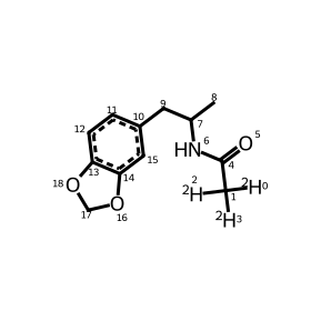 [2H]C([2H])([2H])C(=O)NC(C)Cc1ccc2c(c1)OCO2